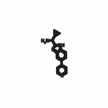 NC(c1nc2cc(-c3ccncc3)ccc2[nH]1)C1CC1